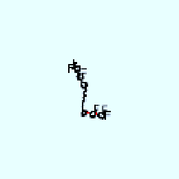 Fc1ccc(C2=CC=C(c3ccc(CCCCCCCCc4cccc(-c5ccc(-c6ccc(F)c(F)c6)c(F)c5)c4)cc3)CC2F)cc1F